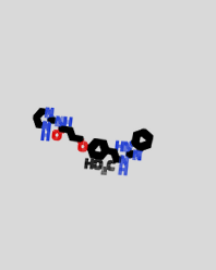 O=C(CCCOc1ccc(C[C@H](Nc2nc3ccccc3[nH]2)C(=O)O)cc1)NC1=NCCCN1